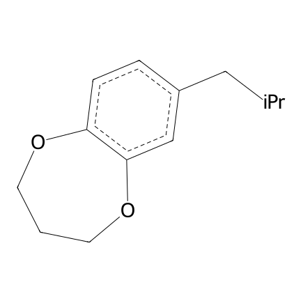 CC(C)Cc1ccc2c(c1)OCCCO2